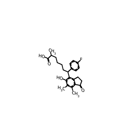 Cc1c(C)c2c(c(C(CCCCC(C)C(=O)O)c3ccc(F)cc3)c1O)CCC2=O